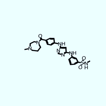 CNS(=O)(=O)c1cccc(Nc2cc(Nc3ccc(C(=O)N4CCCN(C)CC4)cc3)ncn2)c1